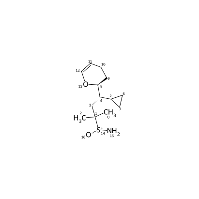 CC(C)(C[C@@H](C1CC1)[C@@H]1CCC=CO1)[S+](N)[O-]